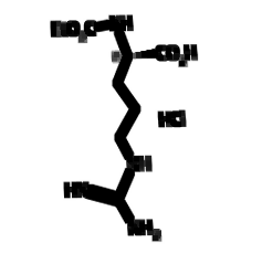 CCOC(=O)N[C@@H](CCCNC(=N)N)C(=O)O.Cl